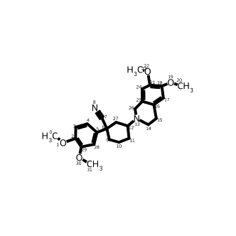 COc1ccc(C2(C#N)CCCC(N3CCc4cc(OC)c(OC)cc4C3)C2)cc1OC